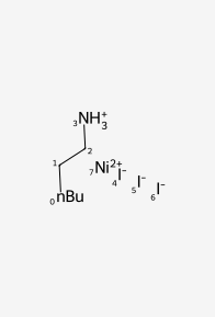 CCCCCC[NH3+].[I-].[I-].[I-].[Ni+2]